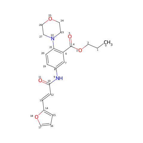 CCCOC(=O)c1cc(NC(=O)/C=C/c2ccco2)ccc1N1CCOCC1